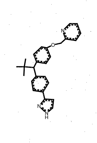 CC(C)(C)C(c1ccc(OCc2ccccn2)cc1)c1ccc(-c2cc[nH]n2)cc1